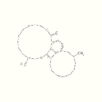 CC1CCCCCCCCOC(=O)c2ccc3c(c2C(=O)OC1)CCCCCCCCC(C)C3